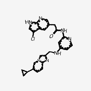 O=C(Cc1cnc2[nH]cc(Cl)c2c1)Nc1cc(NCc2cn3cc(C4CC4)ccc3n2)ccn1